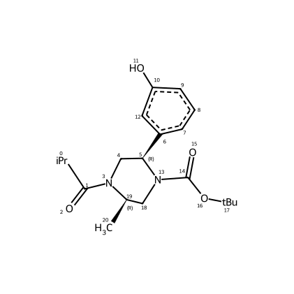 CC(C)C(=O)N1C[C@@H](c2cccc(O)c2)N(C(=O)OC(C)(C)C)C[C@H]1C